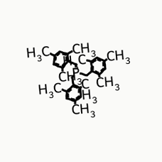 Cc1cc(C)c(CP(Cc2c(C)cc(C)cc2C)Cc2c(C)cc(C)cc2C)c(C)c1